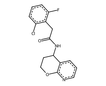 O=C(Cc1c(F)cccc1Cl)NC1CCOc2ncccc21